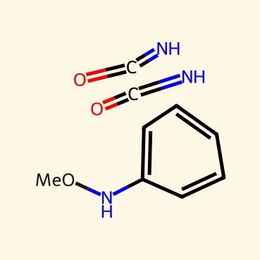 CONc1ccccc1.N=C=O.N=C=O